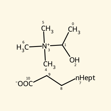 CC(O)[N+](C)(C)C.CCCCCCCCCC(=O)[O-]